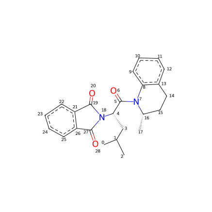 CC(C)C[C@@H](C(=O)N1c2ccccc2CC[C@@H]1C)N1C(=O)c2ccccc2C1=O